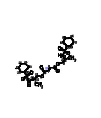 C[C@@H](COC(=O)/C=C/C(=O)OC[C@H](C)NS(=O)(=O)C1CCCCC1)NS(=O)(=O)C1CCCCC1